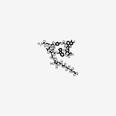 CC[C@@]1(O)C(=O)OCc2c1cc1n(c2=O)Cc2c-1nc1cc(F)c(C)c3c1c2[C@@H](NC(=O)OCc1ccc(NC(=O)[C@@H](CCCNC(N)=O)NC(=O)[C@H](NC(=O)[C@H](CCC(=O)NC[C@H]2O[C@@H](CC(=O)NCC(=O)NCC(=O)NCC(=O)NCC(=O)OC)[C@H](O)[C@@H]2O)NC(=O)OCC2c4ccccc4-c4ccccc42)C(C)C)cc1)CC3